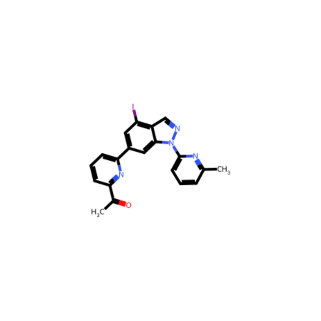 CC(=O)c1cccc(-c2cc(I)c3cnn(-c4cccc(C)n4)c3c2)n1